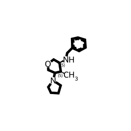 C[C@@H]1C(N2CCCC2)COC[C@H]1NCc1ccccc1